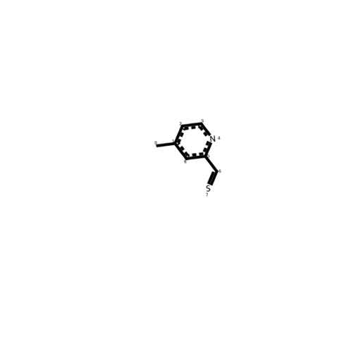 Cc1ccnc([C]=S)c1